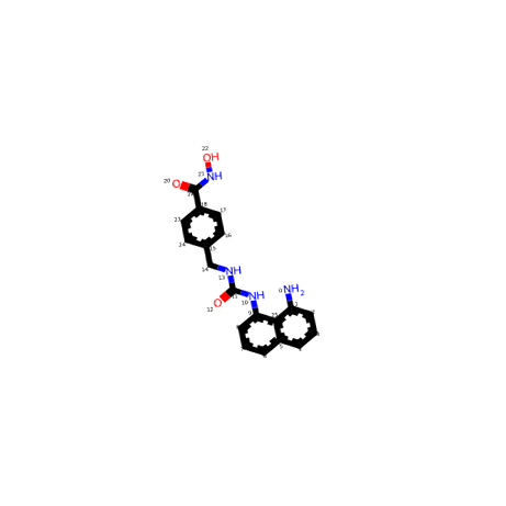 Nc1cccc2cccc(NC(=O)NCc3ccc(C(=O)NO)cc3)c12